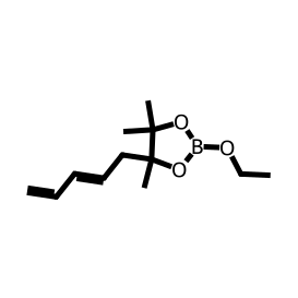 C=CC=CCC1(C)OB(OCC)OC1(C)C